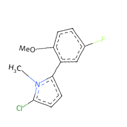 COc1ccc(F)cc1-c1ccc(Cl)n1C